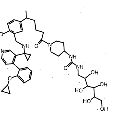 CC(CCCC(=O)N1CCC(NC(=O)NCC(O)C(O)C(O)C(O)CO)CC1)c1ccc(Cl)c(CNC2(c3cnccc3-c3ccccc3OC3CC3)CC2)c1